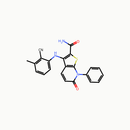 Cc1cccc(Nc2c(C(N)=O)sc3c2ccc(=O)n3-c2ccccc2)c1C#N